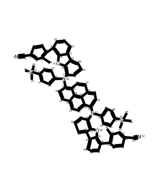 Cc1cc(C#N)ccc1-c1cccc2c1oc1c(N(c3ccc([Si](C)(C)C)cc3)c3ccc4ccc5c(N(c6ccc([Si](C)(C)C)cc6)c6cccc7c6oc6c(-c8ccc(C#N)cc8C)cccc67)ccc6ccc3c4c65)cccc12